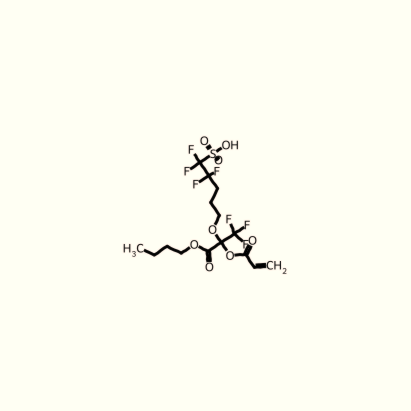 C=CC(=O)OC(OCCCC(F)(F)C(F)(F)S(=O)(=O)O)(C(=O)OCCCC)C(F)(F)F